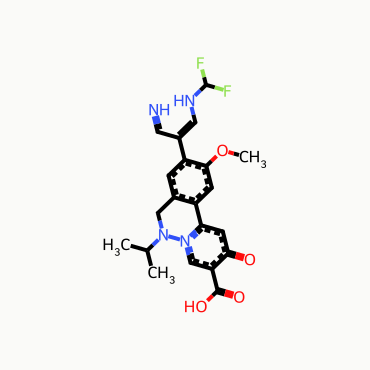 COc1cc2c(cc1/C(C=N)=C/NC(F)F)CN(C(C)C)n1cc(C(=O)O)c(=O)cc1-2